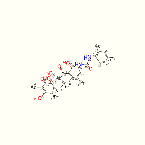 CC(=O)C1=C(O)C(C(C)C)[C@@]2(C)C[C@@]3(C)Cc4c(C(C)C)cc(NC(=O)Nc5ccc(C)cc5C(C)=O)c(O)c4C(=O)C3=C(O)[C@@]2(O)C1=O